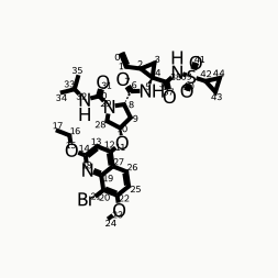 C=CC1C[C@]1(NC(=O)[C@@H]1C[C@@H](Oc2cc(OCC)nc3c(Br)c(OC)ccc23)CN1C(=O)NC(C)C)C(=O)NS(=O)(=O)C1CC1